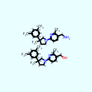 NCc1ccc(N2CCC(c3cc(C(F)(F)F)cc(C(F)(F)F)c3)(C(F)(F)F)C2)nc1C(F)(F)F.OCc1ccc(N2CCC(c3cc(C(F)(F)F)cc(C(F)(F)F)c3)(C(F)(F)F)C2)nc1C(F)(F)F